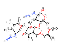 C=C(COC[C@H]1C(C)[C@H](O[C@H]2OC(CC)[C@@H](C)C(C)[C@@H]2N=[N+]=[N-])[C@H](C(C)=O)O[C@H]1O[C@@H]1C(CC)O[C@@H](O)[C@@H](N=[N+]=[N-])C1C)OC=O